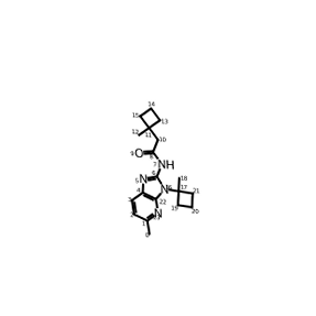 Cc1ccc2nc(NC(=O)CC3(C)CCC3)n(C3(C)CCC3)c2n1